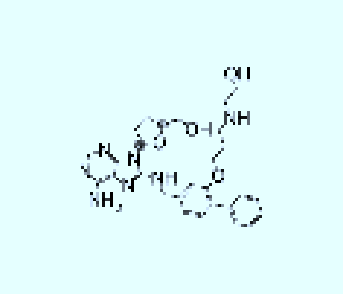 Nc1ncnc2c1nc(NCc1ccc(-c3ccccc3)c(OCCCNCCO)c1)n2[C@H]1CC[C@@H](CO)O1